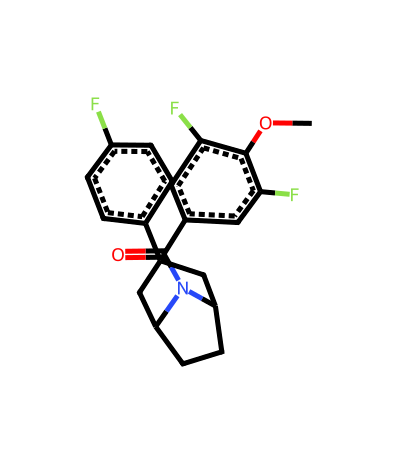 COc1c(F)cc(C(=O)N2C3CCC2CC(c2ccc(F)cc2)C3)cc1F